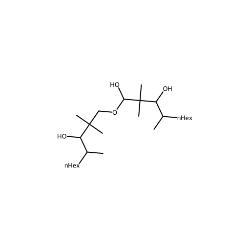 CCCCCCC(C)C(O)C(C)(C)COC(O)C(C)(C)C(O)C(C)CCCCCC